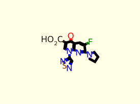 O=C(O)c1cn(-c2cnsn2)c2nc(N3CCCC3)c(F)cc2c1=O